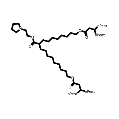 CCCCCC(CCCCC)CC(=O)OCCCCCCCCCC(CCCCCCCCOC(=O)CC(CCCCC)CCCCC)C(=O)OCCN1CCCC1